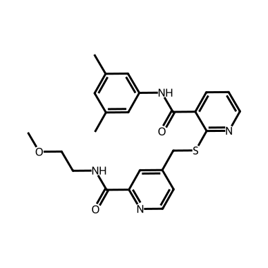 COCCNC(=O)c1cc(CSc2ncccc2C(=O)Nc2cc(C)cc(C)c2)ccn1